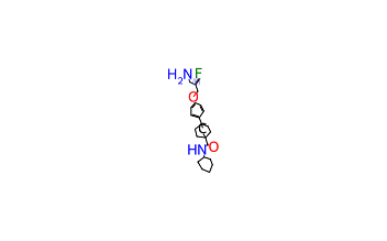 NC/C(=C\F)COc1ccc(C23CCC(C(=O)NC4CCCCC4)(CC2)CC3)cc1